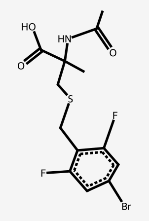 CC(=O)NC(C)(CSCc1c(F)cc(Br)cc1F)C(=O)O